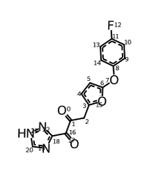 O=C(Cc1ccc(Oc2ccc(F)cc2)o1)C(=O)c1nc[nH]n1